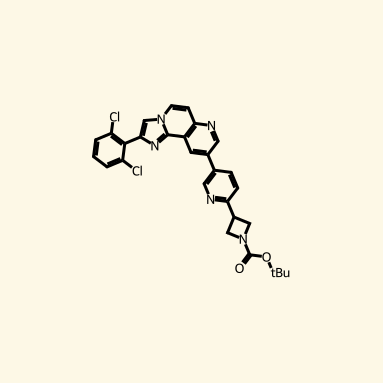 CC(C)(C)OC(=O)N1CC(c2ccc(-c3cnc4ccn5cc(-c6c(Cl)cccc6Cl)nc5c4c3)cn2)C1